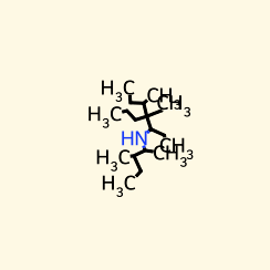 CCCC(CC)(C(C)CC)C(CC)NC(C)C(C)CC